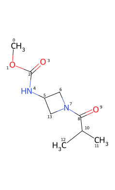 COC(=O)NC1CN(C(=O)C(C)C)C1